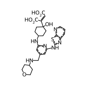 O=C(O)/C=C(\C(=O)O)C1(O)CCC(Nc2cc(CNC3CCOCC3)cc(Nc3nc4cccnc4s3)n2)CC1